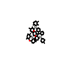 Cc1ccc(N2c3ccccc3C(c3cccc(N(c4c(C)ccc(C)c4C)c4c(C)ccc(C)c4C)c3)(c3cccc(N(c4c(C)ccc(C)c4C)c4c(C)ccc(C)c4C)c3)c3ccccc32)cc1